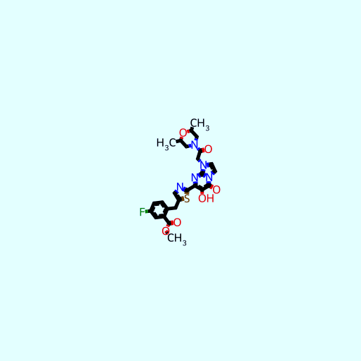 COC(=O)c1cc(F)ccc1Cc1cnc(-c2nc3n(CC(=O)N4CC(C)OC(C)C4)ccn3c(=O)c2O)s1